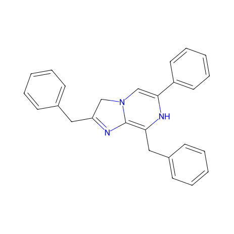 C1=C(c2ccccc2)NC(Cc2ccccc2)=C2N=C(Cc3ccccc3)CN12